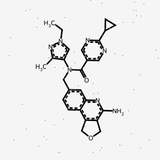 CCn1cc(N(Cc2ccc3c4c(c(N)nc3c2)COC4)C(=O)c2cnc(C3CC3)nc2)c(C)n1